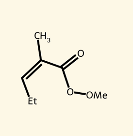 CCC=C(C)C(=O)OOC